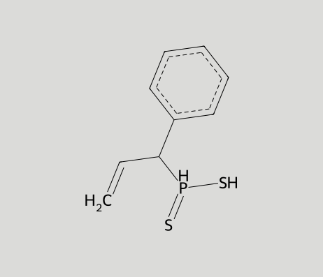 C=CC(c1ccccc1)[PH](=S)S